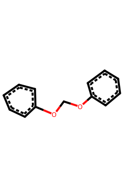 c1ccc(OCOc2ccccc2)cc1